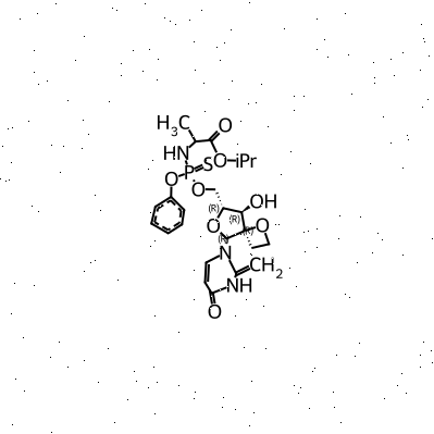 C=C1NC(=O)C=CN1[C@@H]1O[C@H](COP(=S)(NC(C)C(=O)OC(C)C)Oc2ccccc2)[C@@H](O)[C@]12CCO2